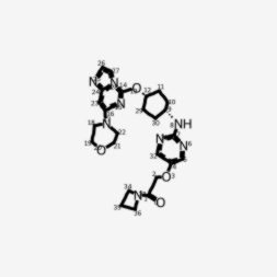 O=C(COc1cnc(N[C@H]2CC[C@@H](Oc3nc(N4CCOCC4)cc4nccn34)CC2)nc1)N1CCC1